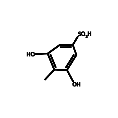 Cc1c(O)cc(S(=O)(=O)O)cc1O